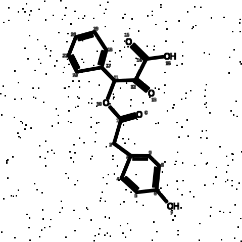 O=C(Cc1ccc(O)cc1)OC(C(=O)C(=O)O)c1ccccc1